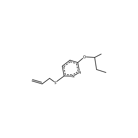 C=CCSc1ccc(OC(C)CC)nn1